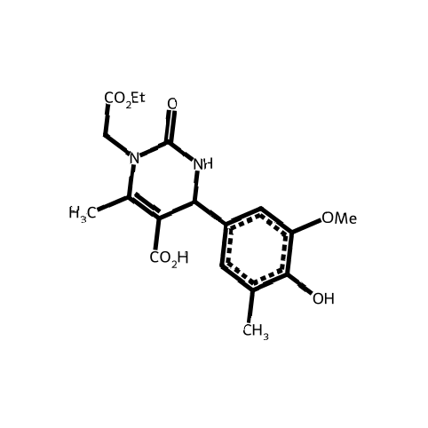 CCOC(=O)CN1C(=O)NC(c2cc(C)c(O)c(OC)c2)C(C(=O)O)=C1C